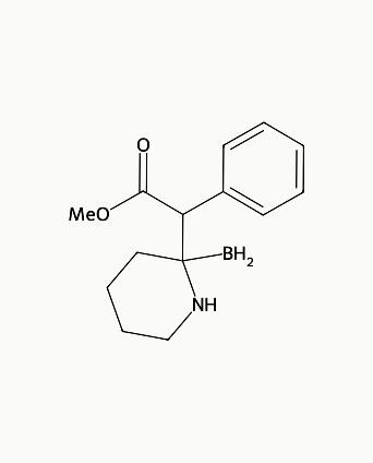 BC1(C(C(=O)OC)c2ccccc2)CCCCN1